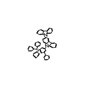 c1ccc(-c2cc(-n3c4ccccc4c4cc(-n5c6ccccc6c6ccccc65)ccc43)cc(S(c3ccccc3)(c3ccccc3)c3ccccc3)c2)cc1